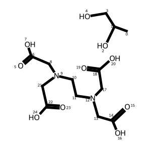 CC(O)CO.O=C(O)CN(CCN(CC(=O)O)CC(=O)O)CC(=O)O